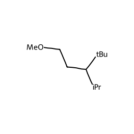 COCCC(C(C)C)C(C)(C)C